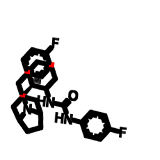 O=C(Nc1ccc(F)cc1)NC1CCCC[C@@H]1CN1C2CCC1CC(Cc1ccc(F)cc1)C2